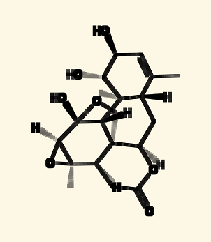 CC1=C[C@H](O)[C@@H](O)[C@]2(C)[C@H]3[C@@]4(O)OC[C@@]35[C@@H](C[C@@H]12)OC(=O)C[C@H]5[C@@]1(C)O[C@H]14